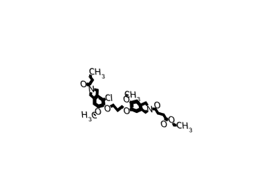 CCCC(=O)N1Cc2cc(OC)c(OCCCOc3cc4c(cc3OC)CN(C(=O)CCC(=O)OCC)C4)c(Cl)c2C1